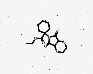 CCOC(=O)C1(N2C(=O)C3SCCSC3C2=O)CCCCC1